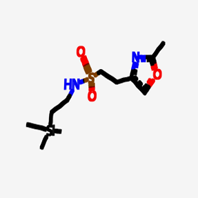 Cc1nc(CCS(=O)(=O)NCC[Si](C)(C)C)co1